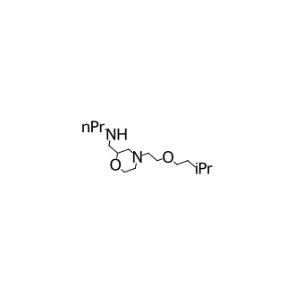 CCCNCC1CN(CCOCCC(C)C)CCO1